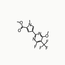 COC(=O)c1cc(-c2nc(F)c(C(F)(F)F)c(OC)n2)cn1C